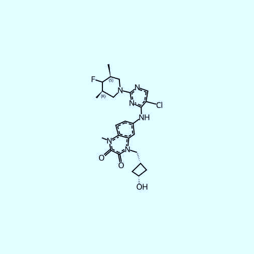 C[C@@H]1CN(c2ncc(Cl)c(Nc3ccc4c(c3)n(C[C@H]3C[C@@H](O)C3)c(=O)c(=O)n4C)n2)C[C@H](C)C1F